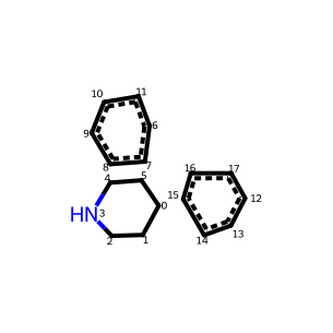 C1CCNCC1.c1ccccc1.c1ccccc1